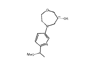 CSC(C)c1ccc(N2CCOC[C@H](O)C2)cn1